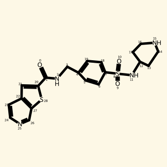 O=C(NCc1ccc(S(=O)(=O)NC2CCNCC2)cc1)c1cc2ccncc2s1